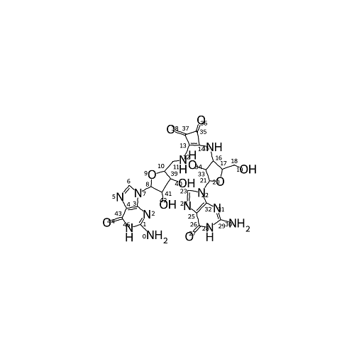 Nc1nc2c(ncn2C2OC(CNc3c(NC4C(CO)OC(n5cnc6c(=O)[nH]c(N)nc65)C4O)c(=O)c3=O)C(O)C2O)c(=O)[nH]1